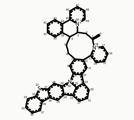 C=C1CC2C(CCc3cc4c(cc3-c3cccc[n+]31)c1cccc3c5cc6c(cc5n4c13)sc1ccccc16)c1ccccc1-c1cccc[n+]12